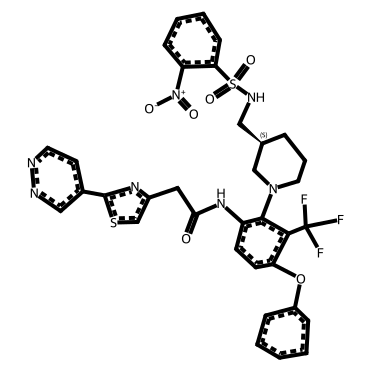 O=C(Cc1csc(-c2ccnnc2)n1)Nc1ccc(Oc2ccccc2)c(C(F)(F)F)c1N1CCC[C@H](CNS(=O)(=O)c2ccccc2[N+](=O)[O-])C1